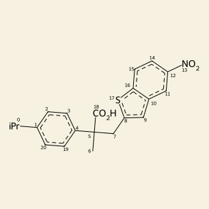 CC(C)c1ccc(C(C)(Cc2cc3cc([N+](=O)[O-])ccc3s2)C(=O)O)cc1